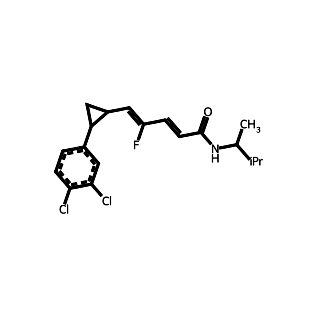 CC(C)C(C)NC(=O)C=CC(F)=CC1CC1c1ccc(Cl)c(Cl)c1